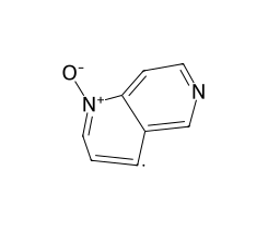 [O-][n+]1cc[c]c2cnccc21